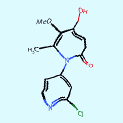 COc1c(O)cc(=O)n(-c2ccnc(Cl)c2)c1C